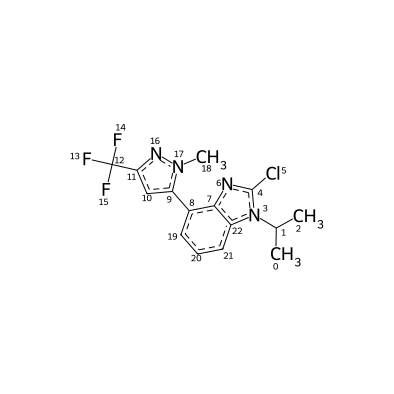 CC(C)n1c(Cl)nc2c(-c3cc(C(F)(F)F)nn3C)cccc21